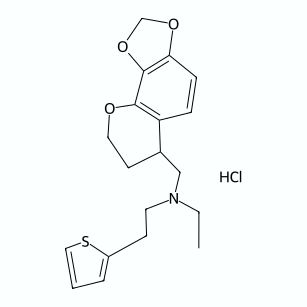 CCN(CCc1cccs1)CC1CCOc2c1ccc1c2OCO1.Cl